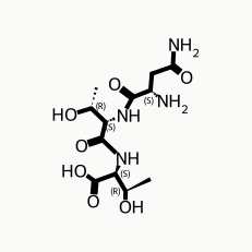 C[C@@H](O)[C@H](NC(=O)[C@@H](NC(=O)[C@@H](N)CC(N)=O)[C@@H](C)O)C(=O)O